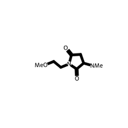 CNC1CC(=O)N(CCOC)C1=O